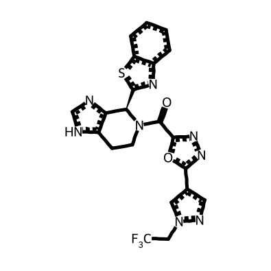 O=C(c1nnc(-c2cnn(CC(F)(F)F)c2)o1)N1CCc2[nH]cnc2[C@H]1c1nc2ccccc2s1